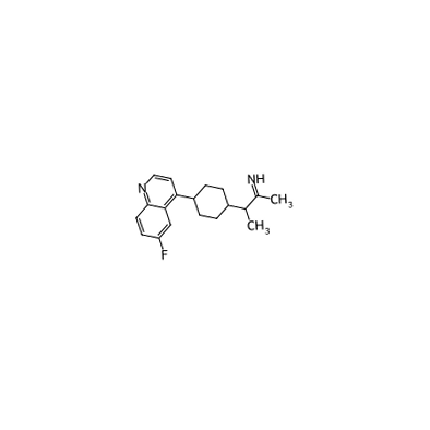 CC(=N)C(C)C1CCC(c2ccnc3ccc(F)cc23)CC1